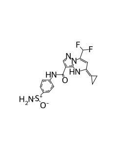 N[S+]([O-])c1ccc(NC(=O)c2cnn3c2NC(=C2CC2)C=C3C(F)F)cc1